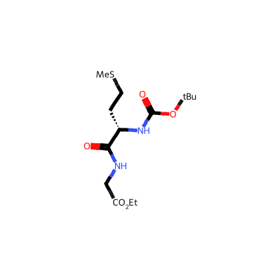 CCOC(=O)CNC(=O)[C@H](CCSC)NC(=O)OC(C)(C)C